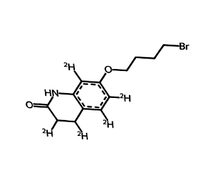 [2H]c1c([2H])c2c(c([2H])c1OCCCCBr)NC(=O)C([2H])C2[2H]